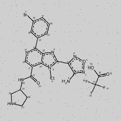 CCn1c(-c2nonc2N)nc2c(-c3cccc(Br)c3)ncc(C(=O)NC3CCNC3)c21.O=C(O)C(F)(F)F